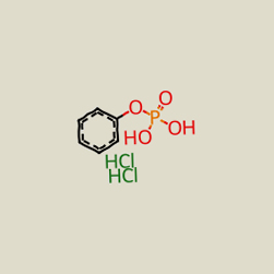 Cl.Cl.O=P(O)(O)Oc1ccccc1